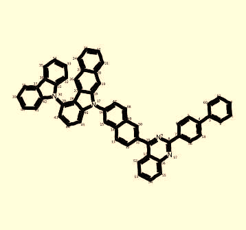 c1ccc(-c2ccc(-c3nc(-c4ccc5cc(-n6c7cc8ccccc8cc7c7c(-n8c9ccccc9c9ccccc98)cccc76)ccc5c4)c4ccccc4n3)cc2)cc1